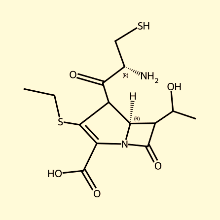 CCSC1=C(C(=O)O)N2C(=O)C(C(C)O)[C@@H]2C1C(=O)[C@@H](N)CS